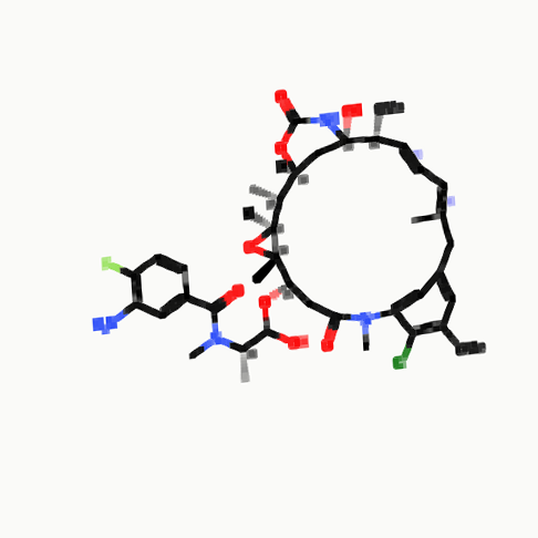 COc1cc2cc(c1Cl)N(C)C(=O)C[C@H](OC(O)[C@H](C)N(C)C(=O)c1ccc(F)c(N)c1)[C@]1(C)O[C@H]1[C@H](C)[C@@H]1C[C@@](O)(NC(=O)O1)[C@H](OC)/C=C/C=C(\C)C2